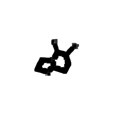 Clc1c(Br)ccc2nccn12